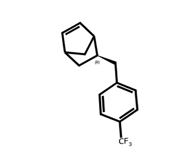 FC(F)(F)c1ccc(C[C@H]2CC3C=CC2C3)cc1